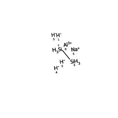 [Al+3].[H-].[H-].[H-].[H-].[Na+].[SiH3][SiH3]